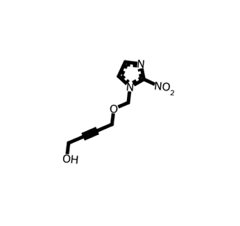 O=[N+]([O-])c1nccn1COCC#CCO